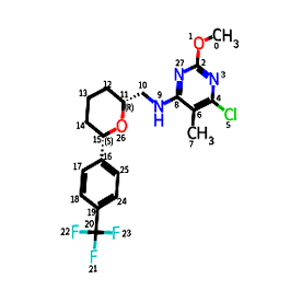 COc1nc(Cl)c(C)c(NC[C@H]2CCC[C@@H](c3ccc(C(F)(F)F)cc3)O2)n1